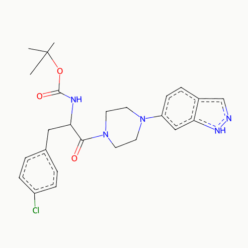 CC(C)(C)OC(=O)NC(Cc1ccc(Cl)cc1)C(=O)N1CCN(c2ccc3cn[nH]c3c2)CC1